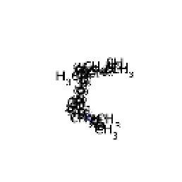 CCc1cccc(C)c1N(c1ccc(/C=C/c2ccc(OC)c(C)c2)cc1)c1ccc(-c2ccc(C3=CC[C@H](N(c4c(C)cccc4CC)[C@H]4C=CC(CCc5ccc(C)c(C)c5)=CC4)C=C3)cc2)cc1